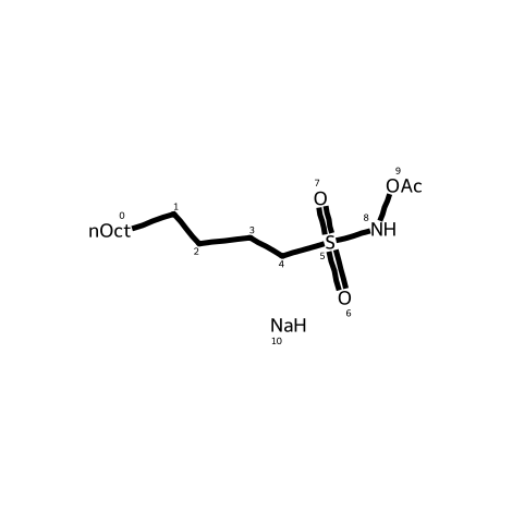 CCCCCCCCCCCCS(=O)(=O)NOC(C)=O.[NaH]